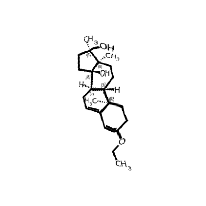 CCOC1=CC2=CC[C@@H]3[C@H](CC[C@@]4(C)[C@@]3(O)CC[C@@]4(C)O)[C@@]2(C)CC1